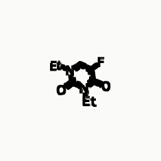 CCn1cc(F)c(=O)n(CC)c1=O